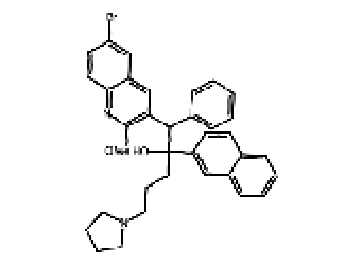 COc1nc2ccc(Br)cc2cc1C(c1ccccc1)C(O)(CCCN1CCCC1)c1ccc2ccccc2c1